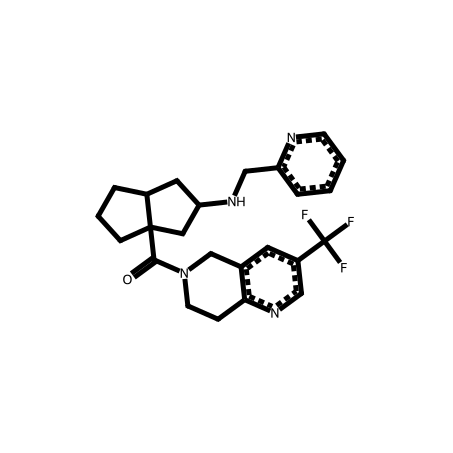 O=C(N1CCc2ncc(C(F)(F)F)cc2C1)C12CCCC1CC(NCc1ccccn1)C2